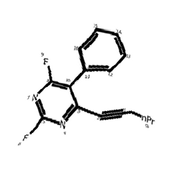 CCCC#Cc1nc(F)nc(F)c1-c1ccccc1